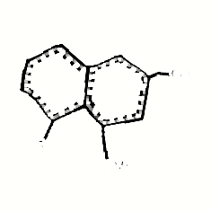 CSc1cc(O)cc2cccc(F)c12